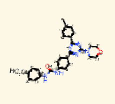 Cc1ccc(-c2nc(-c3ccc(NC(=O)Nc4ccc(C(=O)O)cc4)cc3)nc(N3CCOCC3)n2)cc1